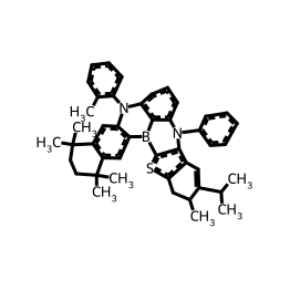 Cc1ccccc1N1c2cc3c(cc2B2c4sc5c(c4N(c4ccccc4)c4cccc1c42)C=C(C(C)C)C(C)C5)C(C)(C)CCC3(C)C